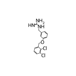 N=C(N)NCc1cccc(OCc2cccc(Cl)c2Cl)c1